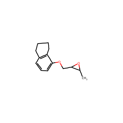 CC1OC1COc1cccc2c1CCCC2